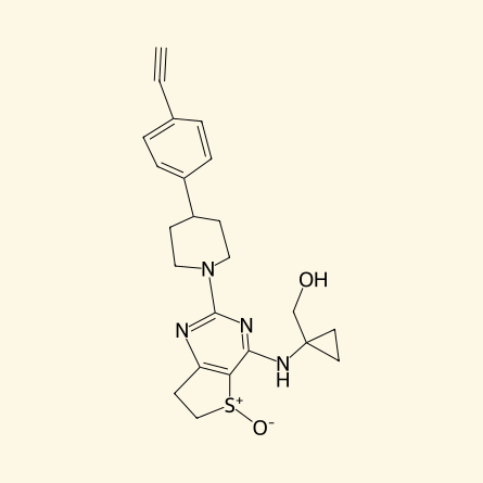 C#Cc1ccc(C2CCN(c3nc4c(c(NC5(CO)CC5)n3)[S+]([O-])CC4)CC2)cc1